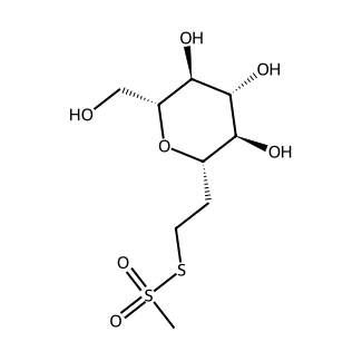 CS(=O)(=O)SCC[C@@H]1O[C@H](CO)[C@@H](O)[C@H](O)[C@H]1O